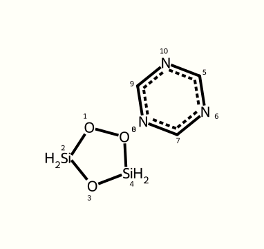 O1O[SiH2]O[SiH2]1.c1ncncn1